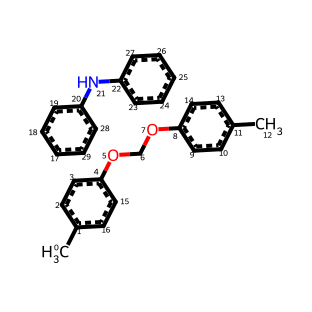 Cc1ccc(OCOc2ccc(C)cc2)cc1.c1ccc(Nc2ccccc2)cc1